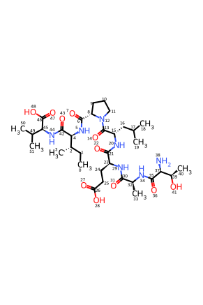 CC[C@H](C)[C@H](NC(=O)[C@@H]1CCCN1C(=O)[C@H](CC(C)C)NC(=O)[C@H](CCC(=O)O)NC(=O)[C@H](C)NC(=O)[C@@H](N)[C@@H](C)O)C(=O)N[C@H](C(=O)O)C(C)C